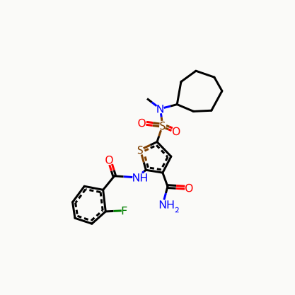 CN(C1CCCCCC1)S(=O)(=O)c1cc(C(N)=O)c(NC(=O)c2ccccc2F)s1